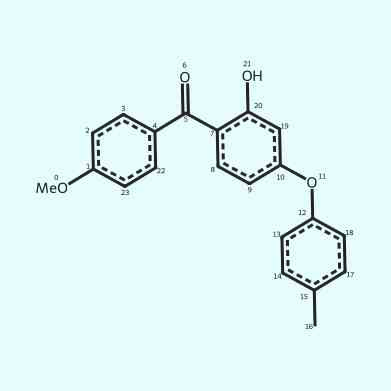 COc1ccc(C(=O)c2ccc(Oc3ccc(C)cc3)cc2O)cc1